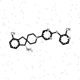 N#Cc1cccc2c1CC1(CCN(c3cnc(Sc4cccnc4C#N)nc3)CC1)[C@@H]2N